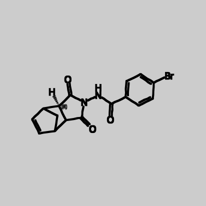 O=C(NN1C(=O)C2C3C=CC(C3)[C@H]2C1=O)c1ccc(Br)cc1